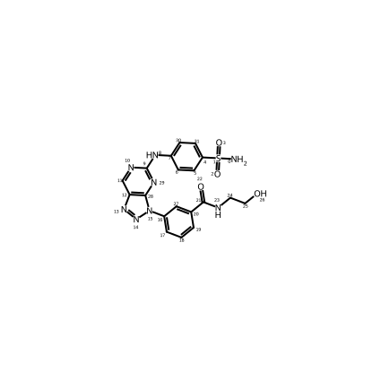 NS(=O)(=O)c1ccc(Nc2ncc3nnn(-c4cccc(C(=O)NCCO)c4)c3n2)cc1